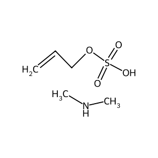 C=CCOS(=O)(=O)O.CNC